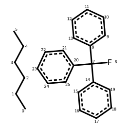 CCCCCC.FC(c1ccccc1)(c1ccccc1)c1ccccc1